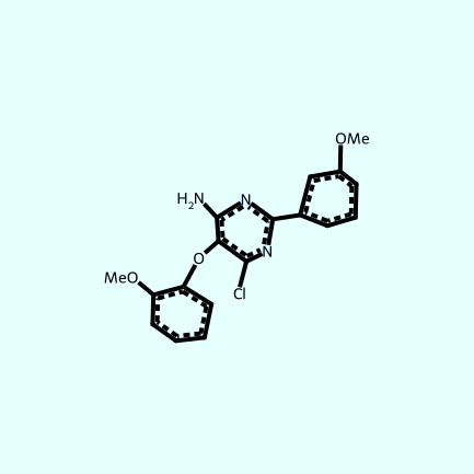 COc1cccc(-c2nc(N)c(Oc3ccccc3OC)c(Cl)n2)c1